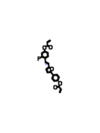 C=CC(=O)Oc1ccc(-c2ccc(/C=C/c3ccc(OC(=O)C=C)cc3F)o2)cc1